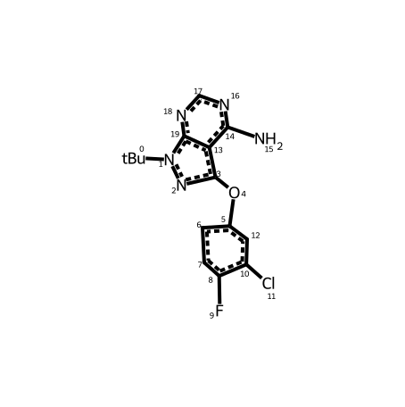 CC(C)(C)n1nc(Oc2ccc(F)c(Cl)c2)c2c(N)ncnc21